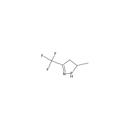 CC1CC(C(F)(F)F)=NP1